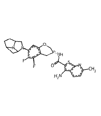 Cc1ccc2c(N)c(C(=O)N[C@H]3COc4cc(N5CC6CCC7CC5N76)c(F)c(F)c4C3)sc2n1